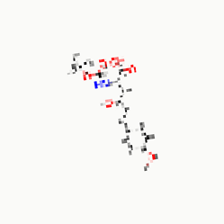 COc1ccc(CCC(=O)CC(NC(=O)OC(C)(C)C)C(=O)O)cc1